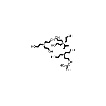 CC(C)[N+](CCO)(CCO)CCO.OCCN(CCO)CCO.OCCN(CCO)CCO.[O]=[Ti]([OH])[OH]